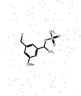 COc1cc(CF)cc(C(C)OS(C)(=O)=O)c1